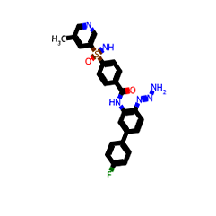 Cc1cncc(S(=N)(=O)c2ccc(C(=O)Nc3cc(-c4ccc(F)cc4)ccc3N=NN)cc2)c1